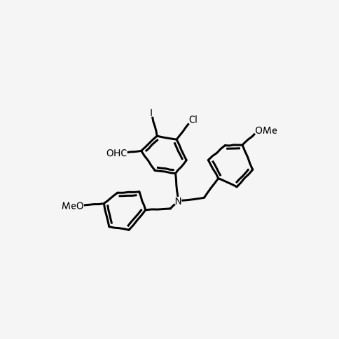 COc1ccc(CN(Cc2ccc(OC)cc2)c2cc(Cl)c(I)c(C=O)c2)cc1